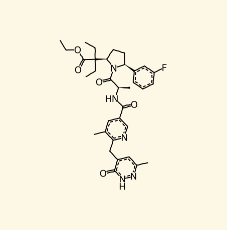 CCOC(=O)C(CC)(CC)[C@H]1CC[C@@H](c2cccc(F)c2)N1C(=O)[C@@H](C)NC(=O)c1cnc(Cc2cc(C)n[nH]c2=O)c(C)c1